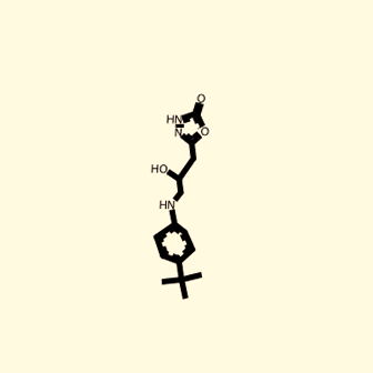 CC(C)(C)c1ccc(NCC(O)Cc2n[nH]c(=O)o2)cc1